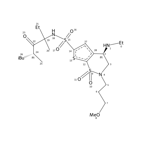 CCN[C@H]1CN(CCCOC)S(=O)(=O)c2sc(S(=O)(=O)NC(C)(CC)C(=O)[C@H](C)C(C)CC)cc21